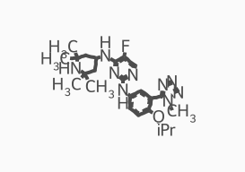 CC(C)Oc1ccc(Nc2ncc(F)c(NC3CC(C)(C)NC(C)(C)C3)n2)cc1-c1nnnn1C